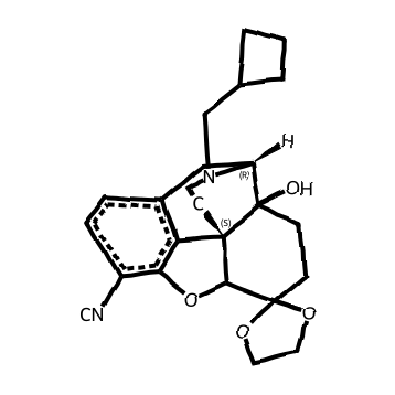 [C-]#[N+]c1ccc2c3c1OC1C4(CCC5(O)[C@@H](C2)N(CC2CCC2)CC[C@]315)OCCO4